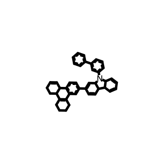 C1=CC2C3C=CC(c4ccc5c(c4)C4=C(CCCC4)C4CCC=CC54)=CC3N(c3cccc(-c4ccccc4)c3)C2C=C1